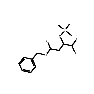 C[Si](C)(C)OC(CC(F)OCc1ccccc1)C(F)F